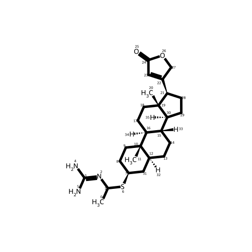 CC(N=C(N)N)S[C@H]1CC[C@@]2(C)[C@@H](CC[C@@H]3[C@@H]2CC[C@]2(C)[C@@H](C4=CC(=O)OC4)CC[C@@H]32)C1